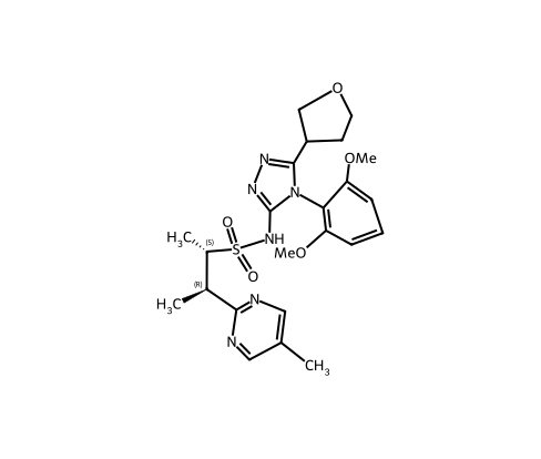 COc1cccc(OC)c1-n1c(NS(=O)(=O)[C@@H](C)[C@H](C)c2ncc(C)cn2)nnc1C1CCOC1